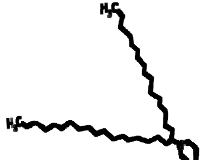 CCCCCCCCCCCCCCCCCCC(CCCCCCCCCCCCCCCC)[n+]1ccccc1